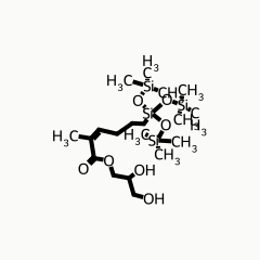 CC(=CCCC[Si](O[Si](C)(C)C)(O[Si](C)(C)C)O[Si](C)(C)C)C(=O)OCC(O)CO